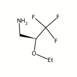 CCO[C@@H](CN)C(F)(F)F